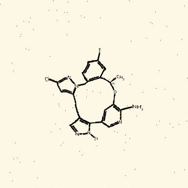 CCn1ncc2c1-c1cnc(N)c(c1)O[C@H](C)c1cc(F)ccc1-n1nc(Cl)cc1C2